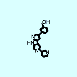 OCc1cccc(-c2cnc3[nH]c4cnc(-c5cccnc5)cc4c3c2)c1